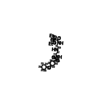 CCOP(=O)(OCC)C(=O)NCCNCCNS(=O)(=O)c1ccc(Oc2ccccc2)cc1